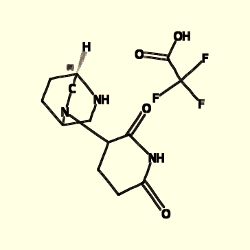 O=C(O)C(F)(F)F.O=C1CCC(N2C[C@H]3CCC2CN3)C(=O)N1